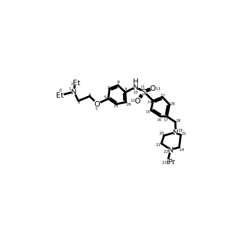 CCN(CC)CCOc1ccc(NS(=O)(=O)c2ccc(CN3CCN(C(C)C)CC3)cc2)cc1